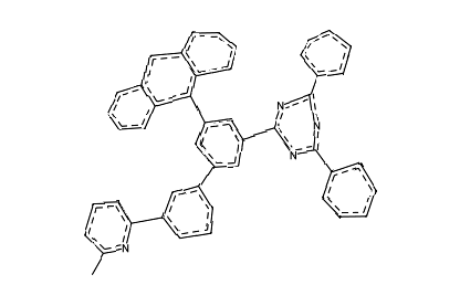 Cc1cccc(-c2cccc(-c3cc(-c4nc(-c5ccccc5)nc(-c5ccccc5)n4)cc(-c4c5ccccc5cc5ccccc45)c3)c2)n1